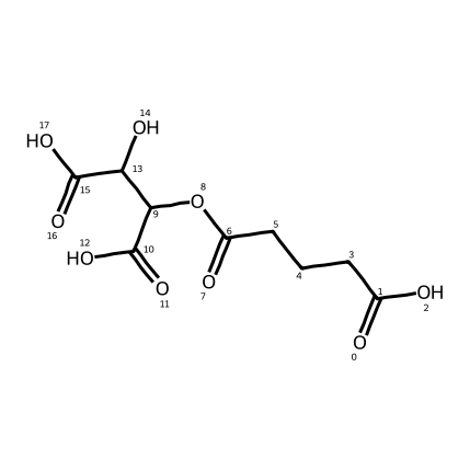 O=C(O)CCCC(=O)OC(C(=O)O)C(O)C(=O)O